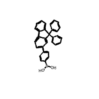 OB(O)c1ccc(-c2ccc3c(c2)C(c2ccccc2)(c2ccccc2)c2ccccc2-3)cc1